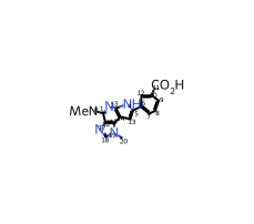 CNc1nc2[nH]c(-c3cccc(C(=O)O)c3)cc2c2c1ncn2C